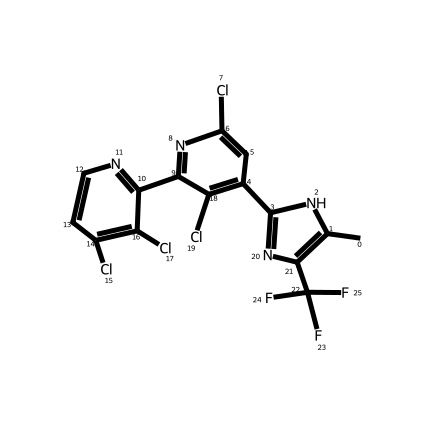 Cc1[nH]c(-c2[c]c(Cl)nc(-c3nccc(Cl)c3Cl)c2Cl)nc1C(F)(F)F